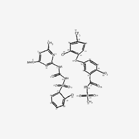 COc1nc(C)nc(NC(=O)NS(=O)(=O)c2ccccc2Cl)n1.CS(=O)(=O)NC(=O)c1cc(Oc2ccc(C(F)(F)F)cc2Cl)ccc1[N+](=O)[O-]